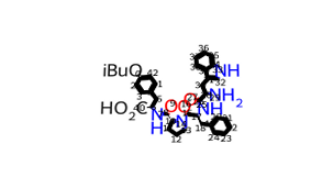 CC(C)COc1ccc(C[C@H](NC(=O)[C@H]2CCCN2C(=O)[C@H](Cc2ccccc2)NC(=O)[C@H](N)Cc2c[nH]c3ccccc23)C(=O)O)cc1